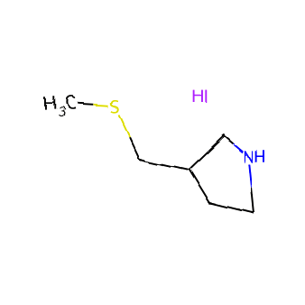 CSCC1CCNC1.I